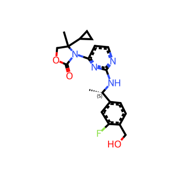 C[C@H](Nc1nccc(N2C(=O)OCC2(C)C2CC2)n1)c1ccc(CO)c(F)c1